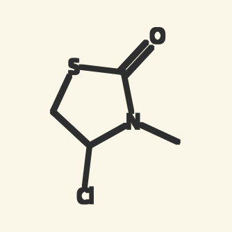 CN1C(=O)SCC1Cl